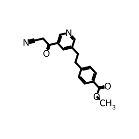 COC(=O)c1ccc(CCc2cncc(C(=O)CC#N)c2)cc1